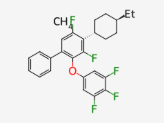 C.CC[C@H]1CC[C@H](c2c(F)cc(-c3ccccc3)c(Oc3cc(F)c(F)c(F)c3)c2F)CC1